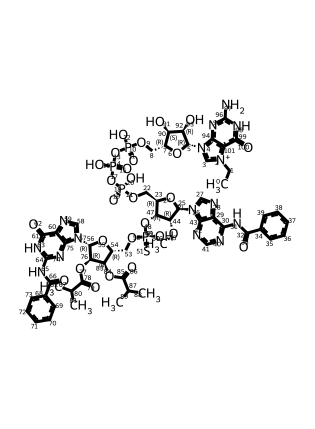 CC[n+]1cn([C@@H]2O[C@H](COP(=O)(O)OP(=O)(O)OP(=O)(O)OC[C@H]3O[C@@H](n4cnc5c(NC(=O)c6ccccc6)ncnc54)[C@H](OC)[C@@H]3O[P@](O)(=S)OC[C@H]3O[C@@H](n4cnc5c(=O)[nH]c(NC(=O)c6ccccc6)nc54)[C@H](OC(=O)C(C)C)[C@@H]3OC(=O)C(C)C)[C@@H](O)[C@H]2O)c2nc(N)[nH]c(=O)c21